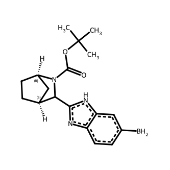 Bc1ccc2nc(C3[C@H]4CC[C@H](C4)N3C(=O)OC(C)(C)C)[nH]c2c1